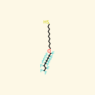 FC(F)C(F)C(F)C(F)(F)C(F)(F)C(F)(F)C(F)(F)C(F)OCCCCCCCCCCCS